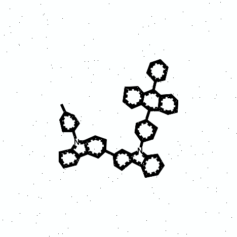 Cc1ccc(-n2c3ccccc3c3cc(-c4ccc5c6ccccc6n(-c6ccc(-c7c8ccccc8c(-c8ccccc8)c8ccccc78)cc6)c5c4)ccc32)cc1